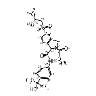 CC(C)(C)OC(=O)N1Cc2cc(S(=O)(=O)CC3(O)CC3)ccc2C1C(=O)Nc1ccc(C(O)(C(F)(F)F)C(F)(F)F)cc1